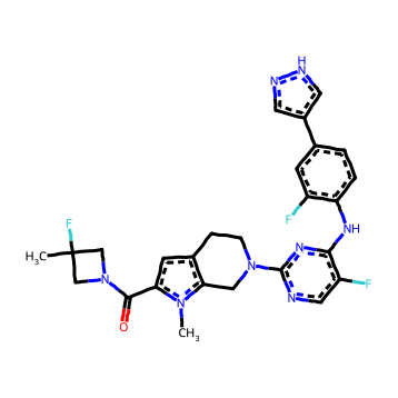 Cn1c(C(=O)N2CC(C)(F)C2)cc2c1CN(c1ncc(F)c(Nc3ccc(-c4cn[nH]c4)cc3F)n1)CC2